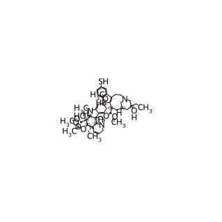 CC[C@]1(O)C[C@H]2CN(CCC3=C(Bc4ccc(S)cc43)[C@@](C(=O)OC)(C3C=C4C(=CC3OC)N(C)[C@H]3[C@@](O)(C(=O)OC)[C@H](OC(C)=O)[C@]5(CC)C=CCN6CC[C@]43[C@@H]65)C2)C1